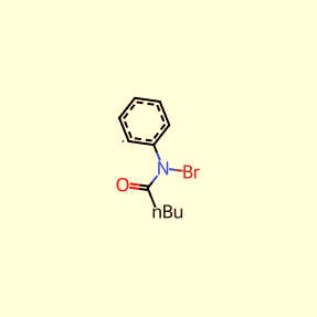 CCCCC(=O)N(Br)c1[c]cccc1